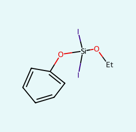 CCO[Si](I)(I)Oc1ccccc1